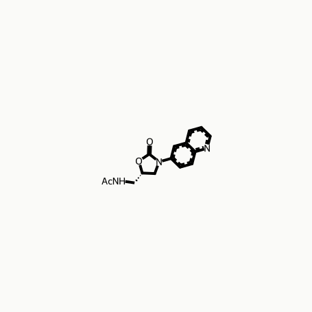 CC(=O)NC[C@H]1CN(c2ccc3ncccc3c2)C(=O)O1